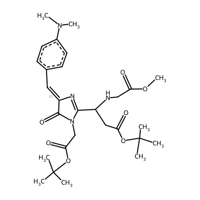 COC(=O)CNC(CC(=O)OC(C)(C)C)C1=N/C(=C\c2ccc(N(C)C)cc2)C(=O)N1CC(=O)OC(C)(C)C